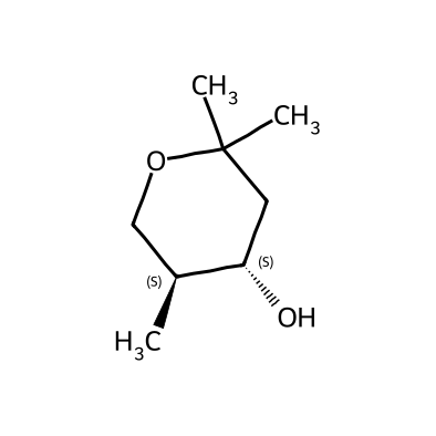 C[C@H]1COC(C)(C)C[C@@H]1O